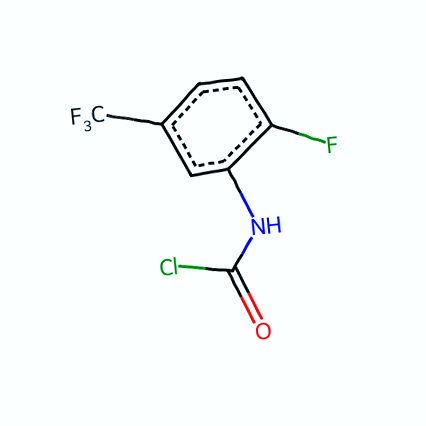 O=C(Cl)Nc1cc(C(F)(F)F)ccc1F